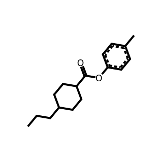 CCCC1CCC(C(=O)Oc2ccc(C)cc2)CC1